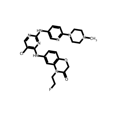 CN1CCN(c2ccc(Nc3ncc(Cl)c(Nc4ccc5c(c4)N(CCF)C(=O)CO5)n3)cn2)CC1